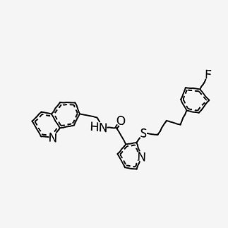 O=C(NCc1ccc2cccnc2c1)c1cccnc1SCCCc1ccc(F)cc1